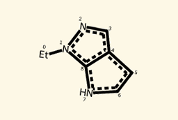 CCn1ncc2cc[nH]c21